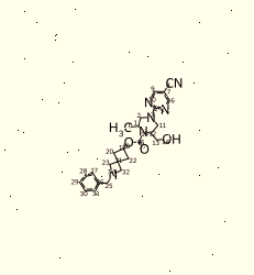 CC1CN(c2ncc(C#N)cn2)CC(CO)N1C(=O)OC1CC2(C1)CN(Cc1ccccc1)C2